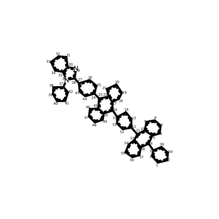 c1ccc(-c2c3ccccc3c(-c3ccc(-c4c5ccccc5c(-c5ccc(-c6nc7ccccc7n6-c6ccccc6)cc5)c5ccccc45)cc3)c3ccccc23)cc1